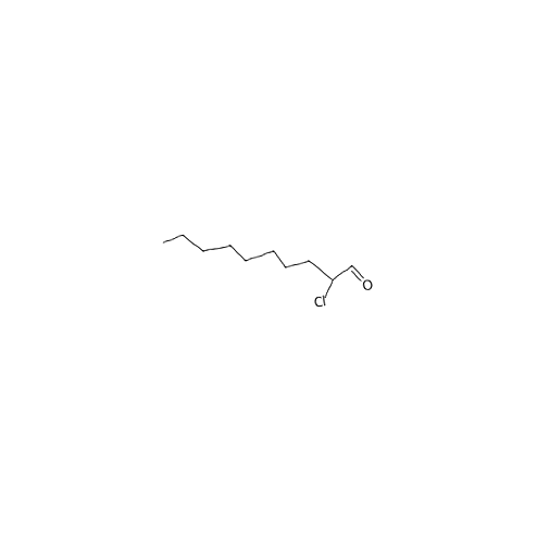 CCCCCCCCC(Cl)C=O